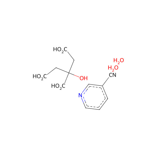 N#Cc1cccnc1.O.O.O=C(O)CC(O)(CC(=O)O)C(=O)O